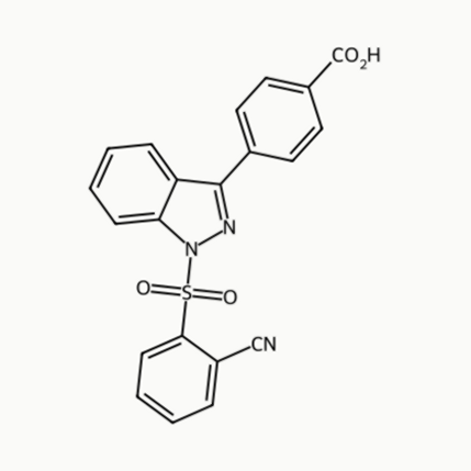 N#Cc1ccccc1S(=O)(=O)n1nc(-c2ccc(C(=O)O)cc2)c2ccccc21